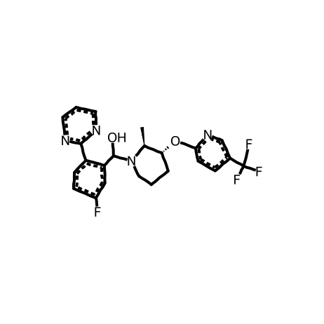 C[C@H]1[C@H](Oc2ccc(C(F)(F)F)cn2)CCCN1C(O)c1cc(F)ccc1-c1ncccn1